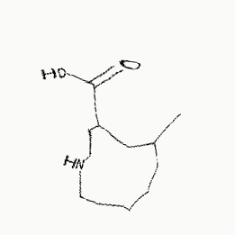 CC1CCCNC1C(=O)O